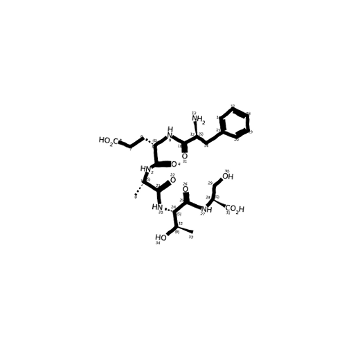 C[C@H](NC(=O)[C@H](CCC(=O)O)NC(=O)[C@@H](N)Cc1ccccc1)C(=O)N[C@H](C(=O)N[C@@H](CO)C(=O)O)[C@@H](C)O